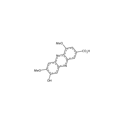 COc1cc2nc3c(OC)cc(C(=O)O)cc3nc2cc1O